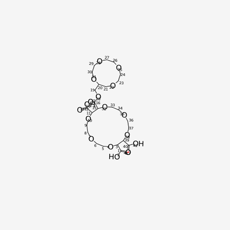 O=C(O)C1OCCOCCOC(C(=O)O)C(C(=O)OCC2COCCOCCOCCO2)OCCOCCOC1C(=O)O